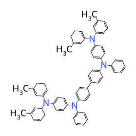 CC1=CC(N(C2=CCCC(C)=C2)c2ccc(N(c3ccccc3)c3ccc(-c4ccc(N(c5ccccc5)c5ccc(N(C6=CCCC(C)=C6)c6cccc(C)c6)cc5)cc4)cc3)cc2)CC=C1